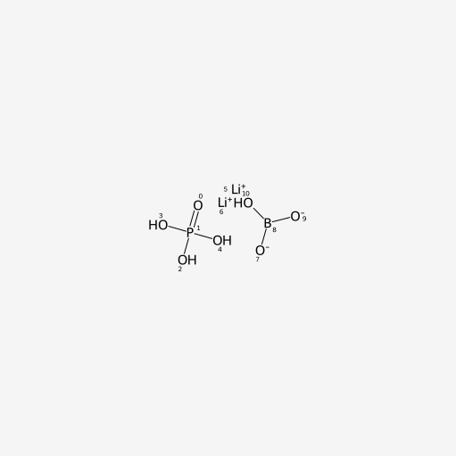 O=P(O)(O)O.[Li+].[Li+].[O-]B([O-])O